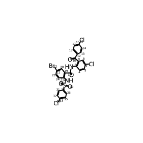 O=C(Nc1ccc(Cl)cc1C(=O)c1ccc(Cl)cc1)c1cc(Br)ccc1NS(=O)(=O)c1ccc(Cl)cc1